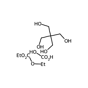 CCOC(=O)OCC.O=C(O)O.OCC(CO)(CO)CO